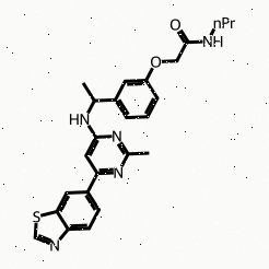 CCCNC(=O)COc1cccc(C(C)Nc2cc(-c3ccc4ncsc4c3)nc(C)n2)c1